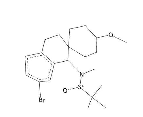 COC1CCC2(CCc3ccc(Br)cc3C2N(C)[S+]([O-])C(C)(C)C)CC1